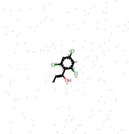 CC=C(O)c1c(Cl)cc(Cl)cc1Cl